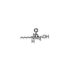 CCCCCCCCNc1nc(-c2ccccc2)cc(N(CC)CCO)n1